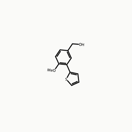 COc1ccc(CO)cc1-c1cccs1